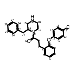 O=C(CCc1ccccc1Oc1ccc(Cl)cc1)N1CCNCC1Cc1ccccc1